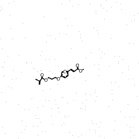 C=C(C)C(=O)OCCCOc1ccc(C=CC(=O)OC)cc1